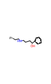 CC(C)CCNCCC[C@@H](O)c1ccccc1